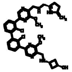 C=C1CC[C@@H](CNCc2ncc(-c3cccc(-c4cccc(-c5cnc(CN[C@H]6C[C@@H](O)C6)c(OC)n5)c4Cl)c3Cl)nc2OC)N1